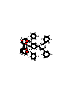 Cc1cccc2c3cccc(C)c3n(-c3c(N(c4ccccc4)c4ccccc4)cc(-c4cc(-c5ccccc5)nc(-c5ccccc5)n4)cc3N(c3ccccc3)c3ccccc3)c12